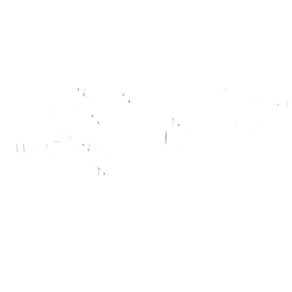 Cn1cncc1Cn1c(CN2CCC(c3cccc(OCc4ccc(Cl)cc4F)n3)CC2)nc2ccc(C(=O)O)cc21